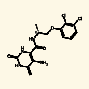 C=C1NC(=O)NC(C(=O)N[C@H](C)COc2cccc(Cl)c2Cl)=C1N